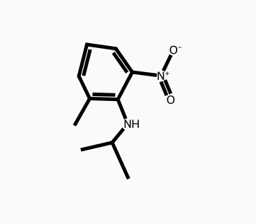 Cc1cccc([N+](=O)[O-])c1NC(C)C